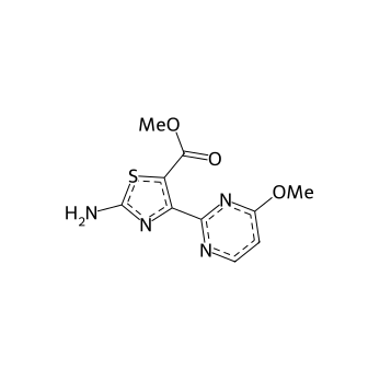 COC(=O)c1sc(N)nc1-c1nccc(OC)n1